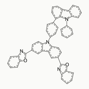 c1ccc(-n2c3ccccc3c3cccc(-c4ccc(-n5c6ccc(-c7nc8ccccc8o7)cc6c6cc(-c7nc8ccccc8o7)ccc65)cc4)c32)cc1